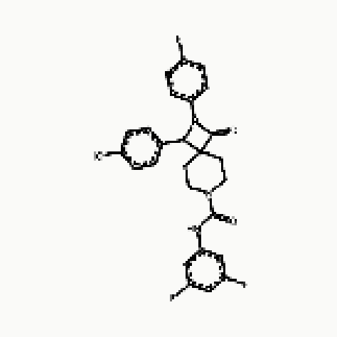 O=C(Nc1cc(F)cc(F)c1)N1CCC2(CC1)C(=O)N(c1ccc(F)cc1)C2c1ccc(O)cc1